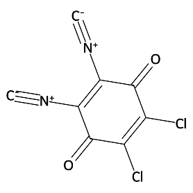 [C-]#[N+]C1=C([N+]#[C-])C(=O)C(Cl)=C(Cl)C1=O